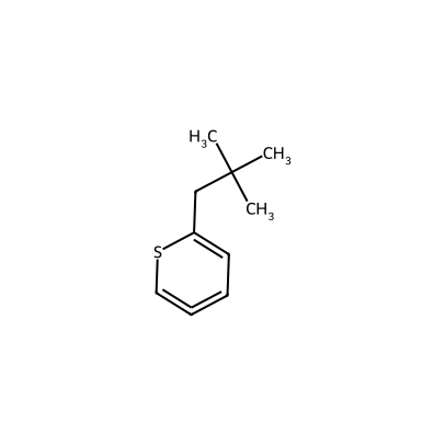 CC(C)(C)CC1=CC=C=CS1